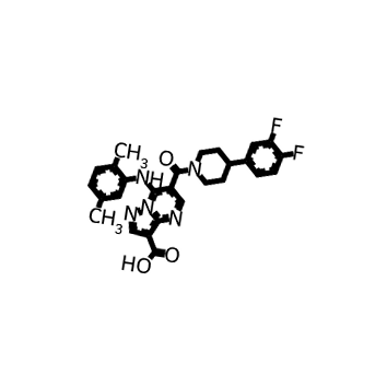 Cc1ccc(C)c(Nc2c(C(=O)N3CCC(c4ccc(F)c(F)c4)CC3)cnc3c(C(=O)O)cnn23)c1